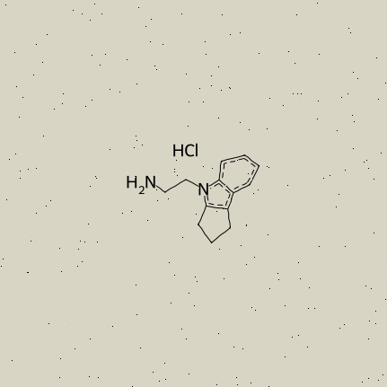 Cl.NCCn1c2c(c3ccccc31)CCC2